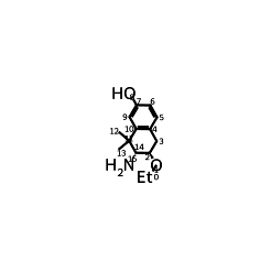 CCO[C@@H]1Cc2ccc(O)cc2C(C)(C)[C@H]1N